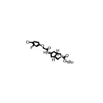 CC(C)(C)OC(=O)N1C[C@H]2CC(NC(=O)COc3ccc(Cl)c(F)c3)C[C@@H]2C1